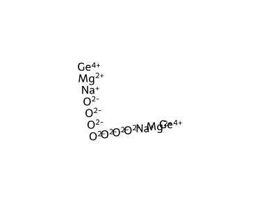 [Ge+4].[Ge+4].[Mg+2].[Mg+2].[Na+].[Na+].[O-2].[O-2].[O-2].[O-2].[O-2].[O-2].[O-2]